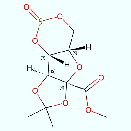 COC(=O)[C@@]12O[C@H]3COS(=O)O[C@H]3[C@@H]1OC(C)(C)O2